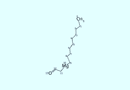 CCCCCCCCC[CH2][Mg][CH2]C=O